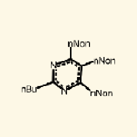 [CH2]CCCc1nc(CCCCCCCCC)c(CCCCCCCCC)c(CCCCCCCCC)n1